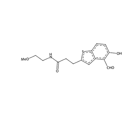 COCCNC(=O)CCc1cc2c(C=O)c(O)ccc2s1